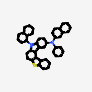 c1ccc(N(c2ccc3ccccc3c2)c2ccc3c(c2)c2c4c(ccc2n3-c2cccc3ccccc23)sc2ccccc24)cc1